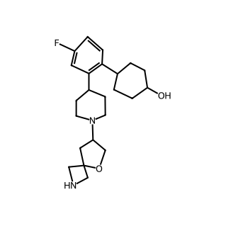 OC1CCC(c2ccc(F)cc2C2CCN(C3COC4(CNC4)C3)CC2)CC1